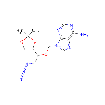 CC1(C)OCC([C@@H](CN=[N+]=[N-])OCn2cnc3c(N)ncnc32)O1